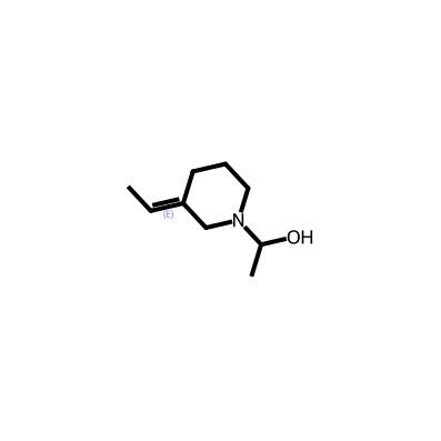 C/C=C1\CCCN(C(C)O)C1